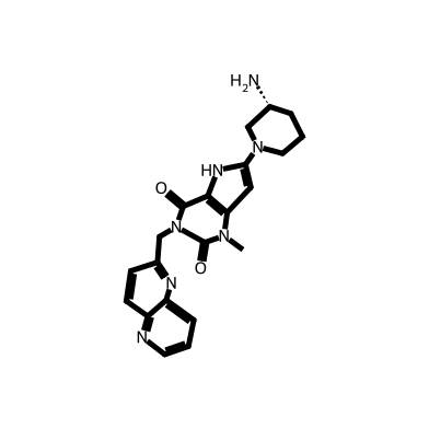 Cn1c(=O)n(Cc2ccc3ncccc3n2)c(=O)c2[nH]c(N3CCC[C@@H](N)C3)cc21